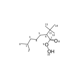 CC(C)CCCC(C(=O)OO)C(C)(C)C